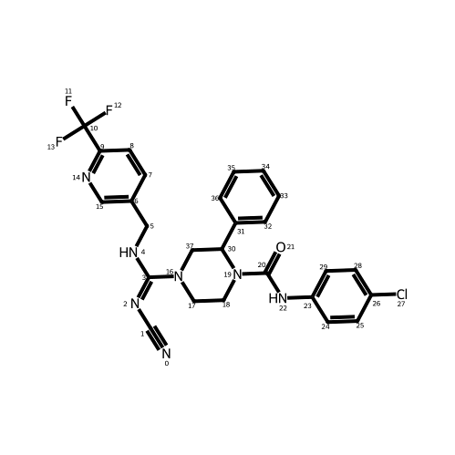 N#C/N=C(/NCc1ccc(C(F)(F)F)nc1)N1CCN(C(=O)Nc2ccc(Cl)cc2)C(c2ccccc2)C1